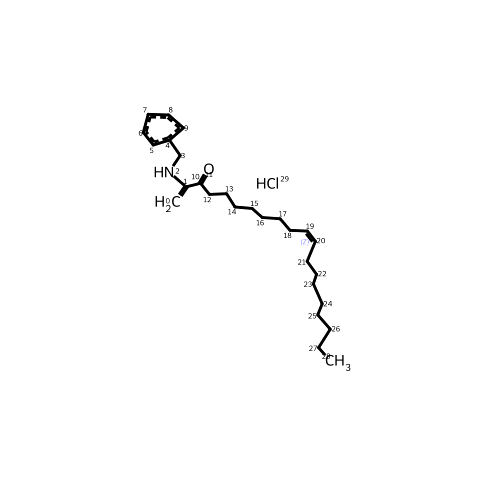 C=C(NCc1ccccc1)C(=O)CCCCCCC/C=C\CCCCCCCC.Cl